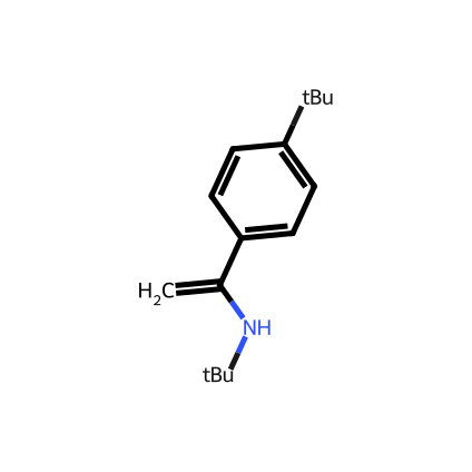 C=C(NC(C)(C)C)c1ccc(C(C)(C)C)cc1